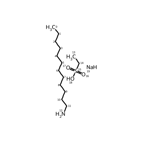 CCCCCCCCCCCCN.CCS(=O)(=O)O.[NaH]